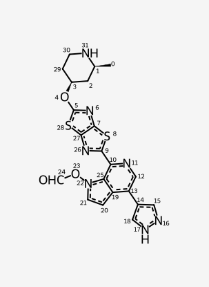 C[C@H]1C[C@@H](Oc2nc3sc(-c4ncc(-c5cn[nH]c5)c5ccn(OC=O)c45)nc3s2)CCN1